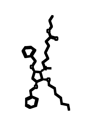 CCCCCCCO[C@@H]1[C@@H](N(C)CCCCCC(=O)OCCC)[C@H](OCc2ccccc2)C[C@@H]1OCc1ccccc1